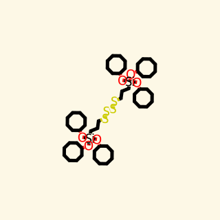 C1CCCC(O[Si](CCCSSSSCCC[Si](OC2CCCCCCC2)(OC2CCCCCCC2)OC2CCCCCCC2)(OC2CCCCCCC2)OC2CCCCCCC2)CCC1